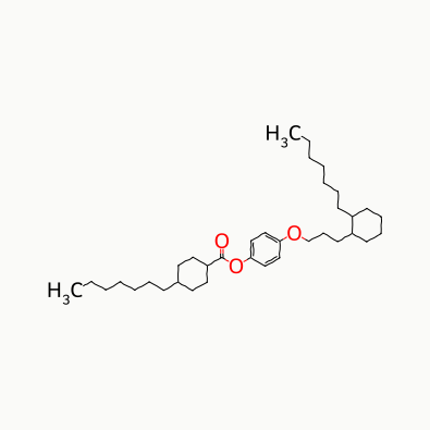 CCCCCCCC1CCC(C(=O)Oc2ccc(OCCCC3CCCCC3CCCCCCC)cc2)CC1